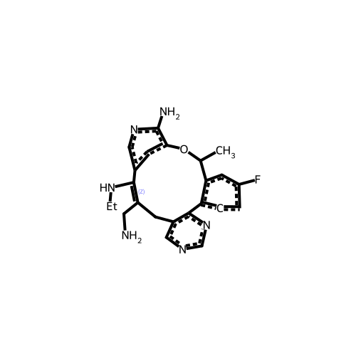 CCN/C1=C(\CN)Cc2cncnc2-c2ccc(F)cc2C(C)Oc2cc1cnc2N